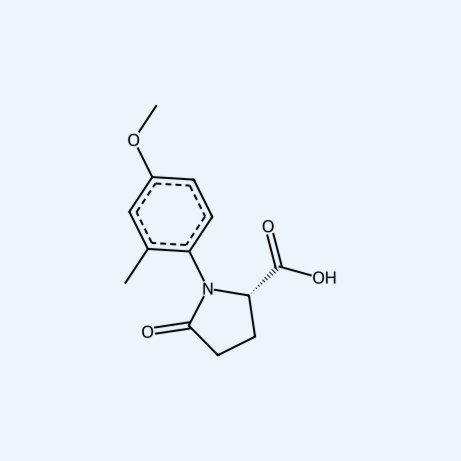 COc1ccc(N2C(=O)CC[C@H]2C(=O)O)c(C)c1